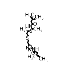 C=C/C(=C\C)CC(=O)NC(=C)SC(=C)CCSCCc1nnc(NC(=O)C/C(C)=C/C)s1